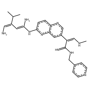 CN/C=C(\C(=N)NCc1ccncc1)c1cnc2ccc(N/C(N)=C/C(=C\N)C(C)C)nc2c1